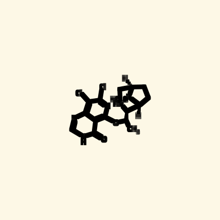 CC(Oc1nc(Cl)c(Cl)c2nc[nH]c(=O)c12)[C@H]1NC[C@H]2CC[C@@H]1N2C(=O)O